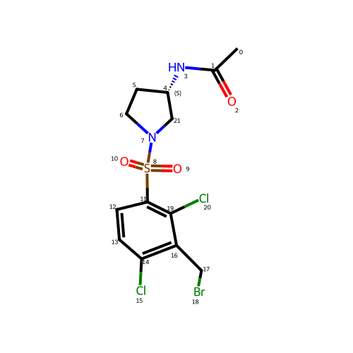 CC(=O)N[C@H]1CCN(S(=O)(=O)c2ccc(Cl)c(CBr)c2Cl)C1